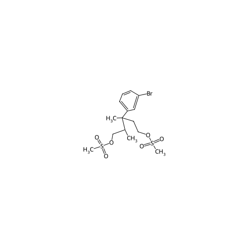 CC(COS(C)(=O)=O)C(C)(CCOS(C)(=O)=O)c1cccc(Br)c1